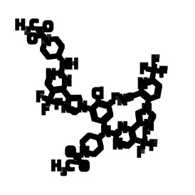 CS(=O)(=O)N1CCC(Nc2ncc(C(F)(F)F)c(-c3cn(-c4cc(N(c5ncc(C(F)(F)F)c(-c6cn(-c7ccc(C(F)(F)F)nc7C#N)cn6)n5)C5CCN(S(C)(=O)=O)CC5)cc(F)c4Cl)cn3)n2)CC1